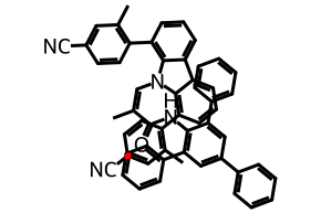 C/C(=C/n1c2c(-c3ccc(C#N)cc3C)cccc2c2cccc(-c3ccc(C#N)cc3C)c21)C(=O)Nc1c(-c2ccccc2)cc(-c2ccccc2)cc1-c1ccccc1